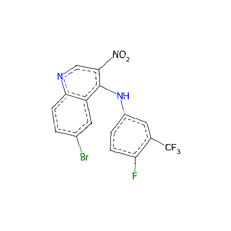 O=[N+]([O-])c1cnc2ccc(Br)cc2c1Nc1ccc(F)c(C(F)(F)F)c1